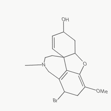 COC1=C2OC3CC(O)C=CC34CCN(C)CC(=C24)C(Br)C1